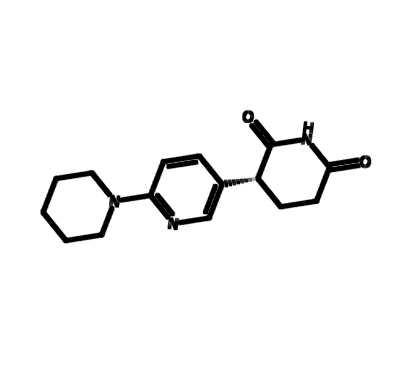 O=C1CC[C@H](c2ccc(N3CCCCC3)nc2)C(=O)N1